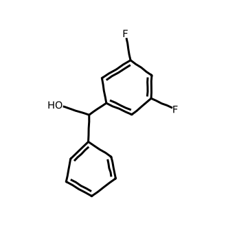 OC(c1ccccc1)c1cc(F)cc(F)c1